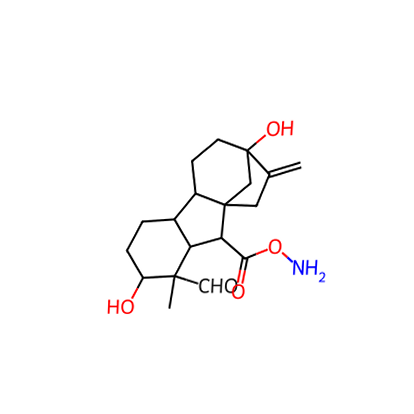 C=C1CC23CC1(O)CCC2C1CCC(O)C(C)(C=O)C1C3C(=O)ON